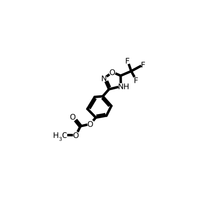 COC(=O)Oc1ccc(C2=NOC(C(F)(F)F)N2)cc1